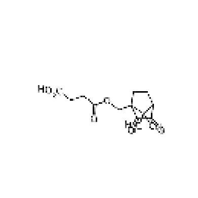 CC1(C)C2CCC1(COC(=O)CCC(=O)O)C(=O)C2=O